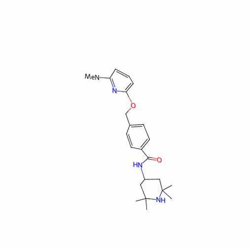 CNc1cccc(OCc2ccc(C(=O)NC3CC(C)(C)NC(C)(C)C3)cc2)n1